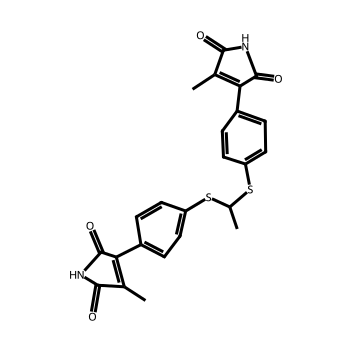 CC1=C(c2ccc(SC(C)Sc3ccc(C4=C(C)C(=O)NC4=O)cc3)cc2)C(=O)NC1=O